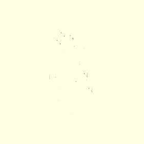 CC(O)Cc1c(-c2ccccc2)ncn1Cc1ccc2[nH]nnc2c1